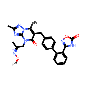 CCCc1c(Cc2ccc(-c3ccccc3-c3noc(=O)[nH]3)cc2)c(=O)n(C/C(C)=N\OC(C)C)c2nc(C)nn12